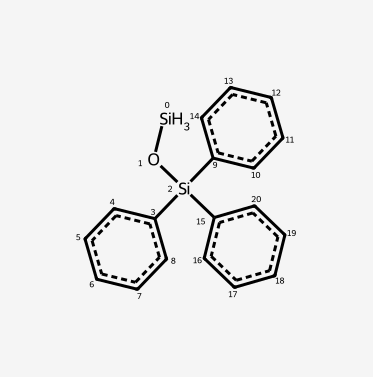 [SiH3]O[Si](c1ccccc1)(c1ccccc1)c1ccccc1